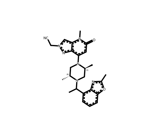 Cc1nc2c(C(C)N3C[C@H](C)N(c4cc(=O)n(C)c5cn(CC#N)nc45)C[C@H]3C)cccc2o1